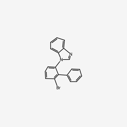 Brc1cccc(-n2cnc3ccccc32)c1-c1ccccc1